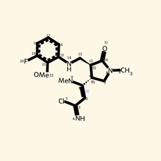 CN/C(=C\C(=N)Cl)[C@H]1CN(C)C(=O)[C@@H]1CNc1cccc(F)c1OC